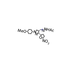 COc1ccc(-n2cc(/C=N/NC(C)=O)c(-c3ccc([N+](=O)[O-])o3)n2)cc1